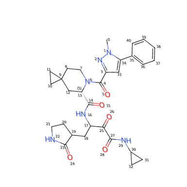 Cn1nc(C(=O)N2CCC3(CC3)C[C@H]2C(=O)NC(CC2CCNC2=O)C(=O)C(=O)NC2CC2)cc1-c1ccccc1